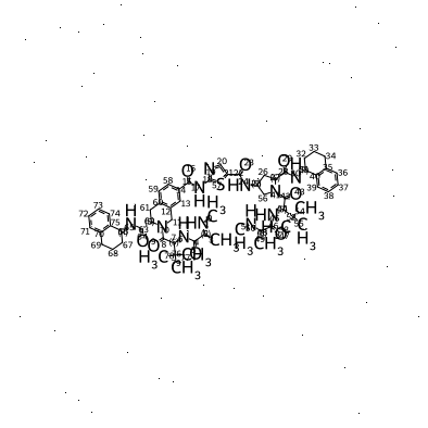 CN[C@@H](C)C(=O)N[C@H](C(=O)N1Cc2cc(C(=O)Nc3ncc(C(=O)N[C@H]4C[C@@H](C(=O)N[C@@H]5CCCc6ccccc65)N(C(=O)[C@@H](NC(=O)[C@H](C)NC)C(C)(C)C)C4)s3)ccc2C[C@H]1C(=O)N[C@@H]1CCCc2ccccc21)C(C)(C)C